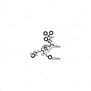 CO/N=C(\C(=O)NC1C(=O)N2C(C(=O)OCc3ccc(OC)cc3)=C(CSc3nc4ncccc4s3)CS[C@@H]12)c1csc(NC(c2ccccc2)(c2ccccc2)c2ccccc2)n1